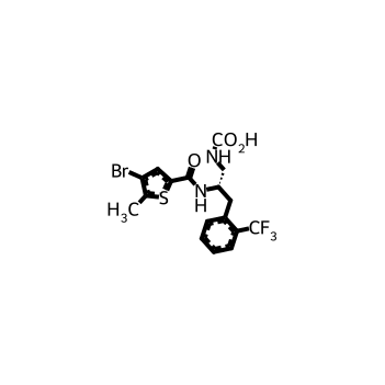 Cc1sc(C(=O)N[C@H](CNC(=O)O)Cc2ccccc2C(F)(F)F)cc1Br